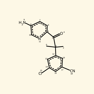 CC(C)(C(=O)c1ccc(N)cn1)c1cc(Cl)cc(C#N)c1